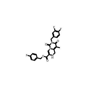 Cc1c2n(c(=O)n(Cc3ccc(F)c(F)c3)c1=O)C=C(C(=O)OCc1ccc(F)cc1)NC2